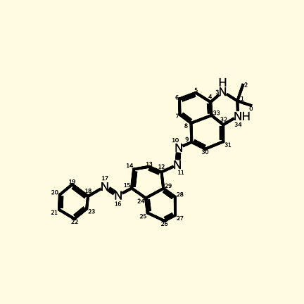 CC1(C)Nc2cccc3c(N=Nc4ccc(N=Nc5ccccc5)c5ccccc45)ccc(c23)N1